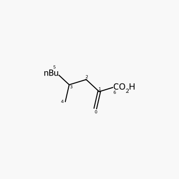 C=C(CC(C)CCCC)C(=O)O